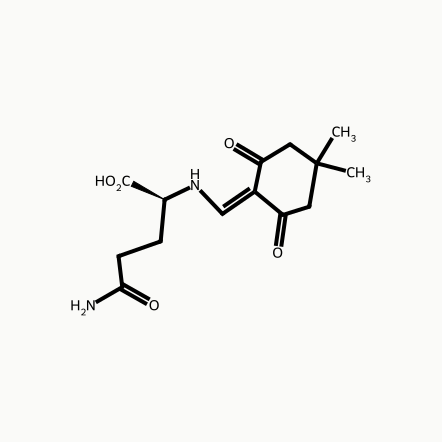 CC1(C)CC(=O)C(=CN[C@@H](CCC(N)=O)C(=O)O)C(=O)C1